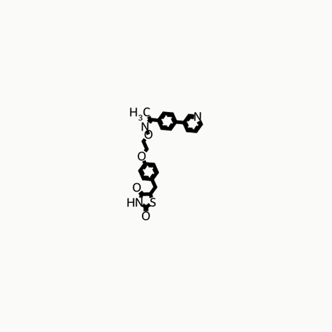 CC(=NOCCOc1ccc(CC2SC(=O)NC2=O)cc1)c1ccc(-c2cccnc2)cc1